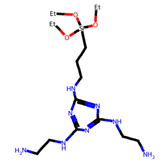 CCO[Si](CCCNc1nc(NCCN)nc(NCCN)n1)(OCC)OCC